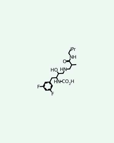 CC(C)CNC(=O)C(C)CNCC(O)C(Cc1cc(F)cc(F)c1)NC(=O)O